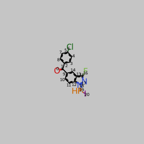 O=C(c1ccc(Cl)cc1)c1ccc2c(c1)c(F)nn2PI